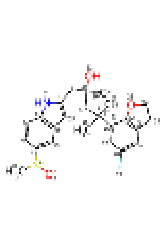 C[S+]([O-])c1ccc2[nH]c(CC(O)(CC(C)(C)c3cc(F)cc4c3OCC4)C(F)(F)F)cc2c1